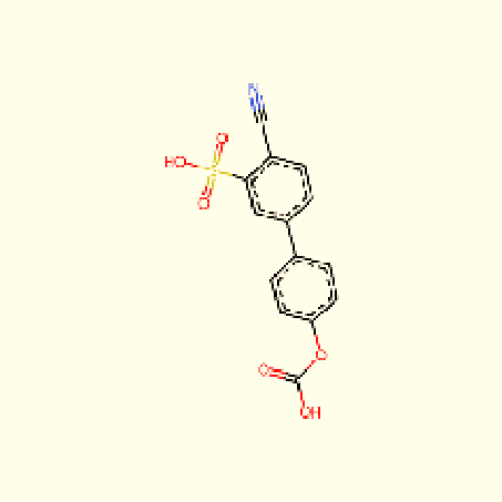 N#Cc1ccc(-c2ccc(OC(=O)O)cc2)cc1S(=O)(=O)O